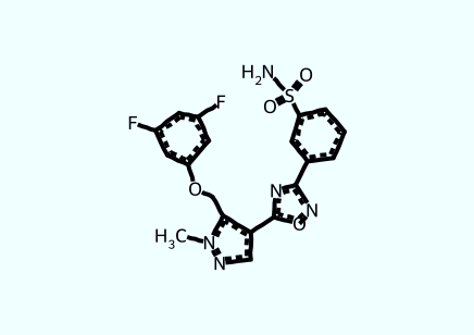 Cn1ncc(-c2nc(-c3cccc(S(N)(=O)=O)c3)no2)c1COc1cc(F)cc(F)c1